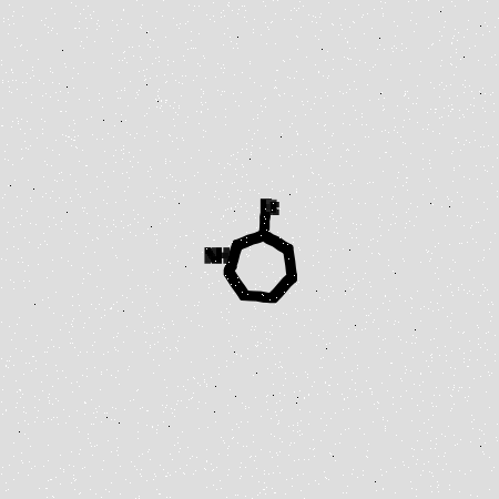 CCC1CCCCCC1.N